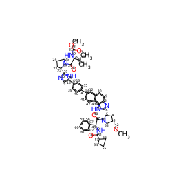 COC[C@H]1C[C@@H](c2nc3ccc4cc(-c5ccc(-c6cnc([C@@H]7CCCN7C(=O)C(NC(=O)OC)C(C)C)[nH]6)cc5)ccc4c3[nH]2)N(C(=O)[C@H](NC(=O)C2CCC2)c2ccccc2)C1